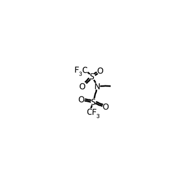 CN(S(=O)(=O)C(F)(F)F)S(=O)(=O)C(F)(F)F